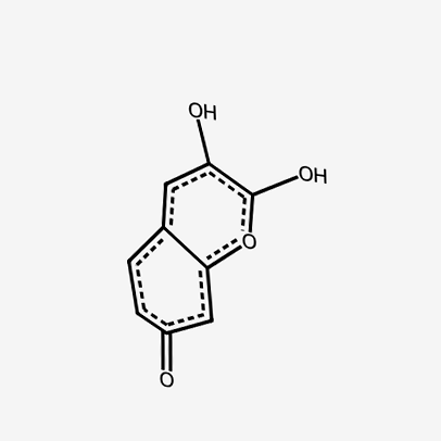 O=c1ccc2cc(O)c(O)oc-2c1